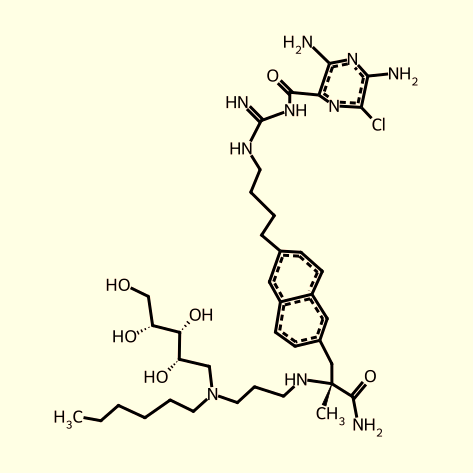 CCCCCCN(CCCN[C@](C)(Cc1ccc2cc(CCCCNC(=N)NC(=O)c3nc(Cl)c(N)nc3N)ccc2c1)C(N)=O)C[C@H](O)[C@@H](O)[C@H](O)CO